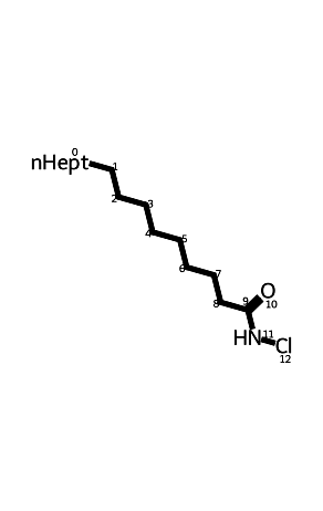 CCCCCCCCCCCCCCCC(=O)NCl